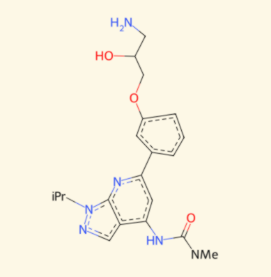 CNC(=O)Nc1cc(-c2cccc(OCC(O)CN)c2)nc2c1cnn2C(C)C